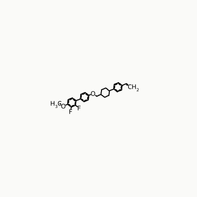 C=Cc1ccc(C2CCC(COc3ccc(-c4ccc(OC)c(F)c4F)cc3)CC2)cc1